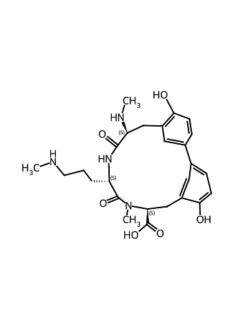 CNCCC[C@@H]1NC(=O)[C@@H](NC)Cc2cc(ccc2O)-c2ccc(O)c(c2)C[C@@H](C(=O)O)N(C)C1=O